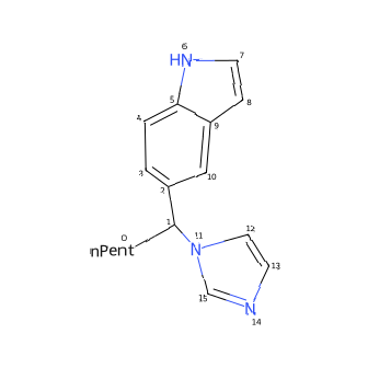 CCCCCC(c1ccc2[nH]ccc2c1)n1ccnc1